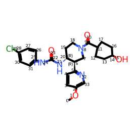 COc1ccc([C@@H]2CN(C(=O)C3CCC(O)CC3)CC[C@H]2NC(=O)Nc2ccc(Cl)cc2)nc1